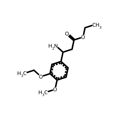 CCOC(=O)CC(N)c1ccc(OC)c(OCC)c1